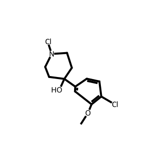 COc1cc(C2(O)CCN(Cl)CC2)ccc1Cl